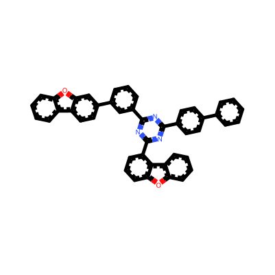 c1ccc(-c2ccc(-c3nc(-c4cccc(-c5ccc6c(c5)oc5ccccc56)c4)nc(-c4cccc5oc6ccccc6c45)n3)cc2)cc1